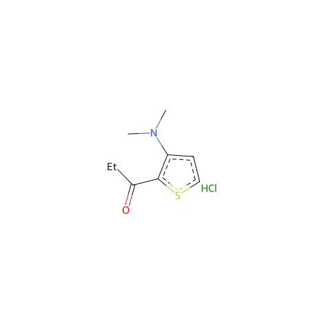 CCC(=O)c1sccc1N(C)C.Cl